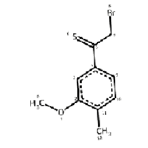 COc1cc(C(=S)CBr)ccc1C